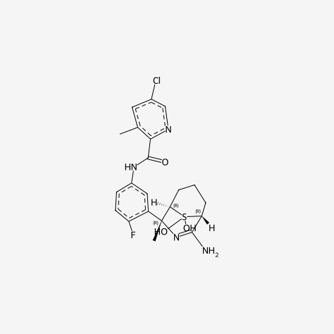 Cc1cc(Cl)cnc1C(=O)Nc1ccc(F)c([C@@]2(C)N=C(N)[C@H]3CCC[C@H]2S3(O)O)c1